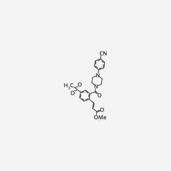 COC(=O)/C=C/c1ccc(S(C)(=O)=O)cc1C(=O)N1CCN(c2ccc(C#N)cc2)CC1